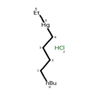 CCCCCCC[CH2][Hg][CH2]C.Cl